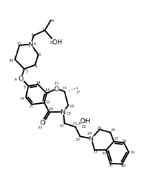 CC(O)CN1CCC(Oc2ccc3c(c2)O[C@H](C)CN(C[C@H](O)CN2CCc4ccccc4C2)C3=O)CC1